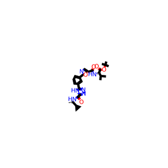 CC(C)[C@H](NC(=O)c1cnc(-c2cccc(-c3nnc(C(=O)N[C@@H](C)C4CC4)[nH]3)c2)o1)C(=O)OC(C)(C)C